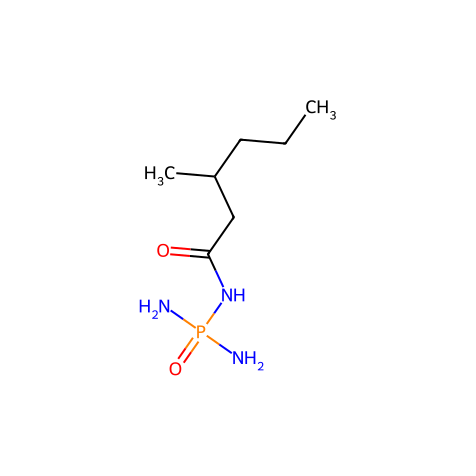 CCCC(C)CC(=O)NP(N)(N)=O